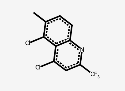 Cc1ccc2nc(C(F)(F)F)cc(Cl)c2c1Cl